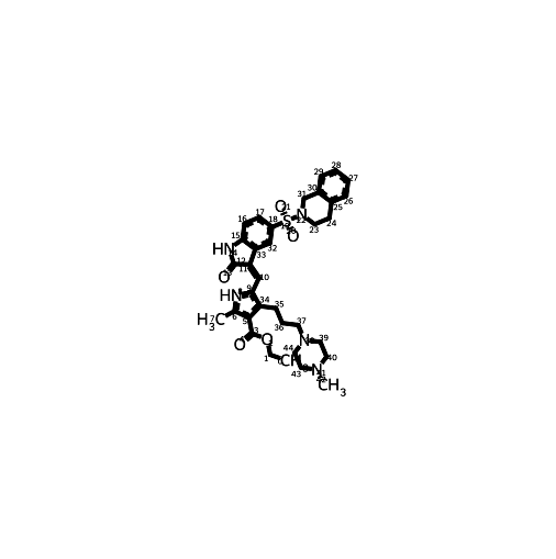 CCOC(=O)c1c(C)[nH]c(/C=C2\C(=O)Nc3ccc(S(=O)(=O)N4CCc5ccccc5C4)cc32)c1CCCN1CCN(C)CC1